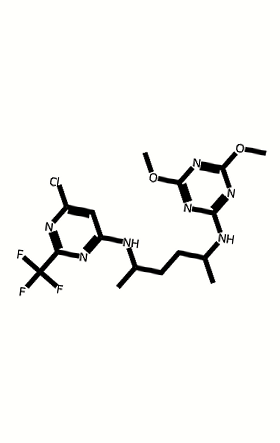 COc1nc(NC(C)CCC(C)Nc2cc(Cl)nc(C(F)(F)F)n2)nc(OC)n1